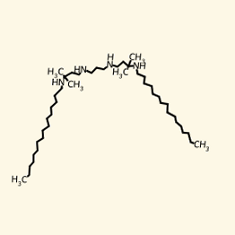 CCCCCCCCCCCCCCCCNC(C)(C)CCNCCCNCCC(C)(C)NCCCCCCCCCCCCCCCC